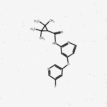 CC1(C)C(C(=O)Nc2cc(Oc3cncc(F)c3)ccn2)C1(C)C